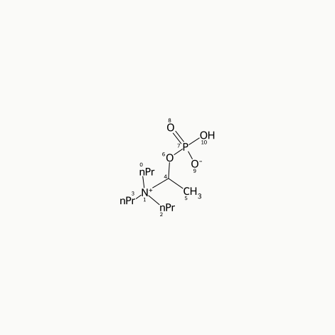 CCC[N+](CCC)(CCC)C(C)OP(=O)([O-])O